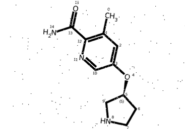 Cc1cc(O[C@H]2CCNC2)cnc1C(N)=O